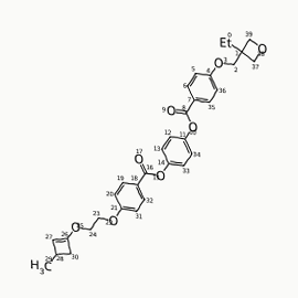 CCC1(COc2ccc(C(=O)Oc3ccc(OC(=O)c4ccc(OCCOC5=CC(C)C5)cc4)cc3)cc2)COC1